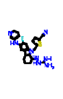 N#Cc1ccc(Cn2c3c(c4cc(Nc5cccnc5)c(F)cc42)CCC/C3=N\NC(=N)N)s1